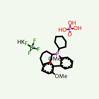 COc1cccc(OC)c1-c1ccccc1P(C1CCCCC1)C1CCCCC1.F[B-](F)(F)F.O=P(O)(O)O.[KH]